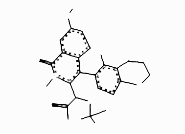 COc1ccc2c(-c3ccc4c(c3C)CCCO4)c(C(OC(C)(C)C)C(=O)O)n(C)c(=O)c2c1